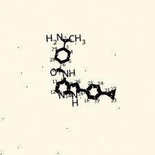 CC(N)[C@H]1CC[C@H](C(=O)Nc2ccnc3[nH]c(-c4ccc(C5CC5)cc4)cc23)CC1